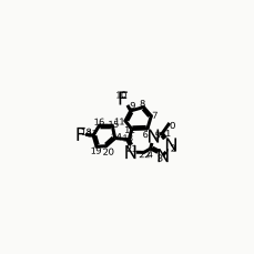 Cc1nnc2n1-c1ccc(F)cc1C(c1ccc(F)cc1)=NC2